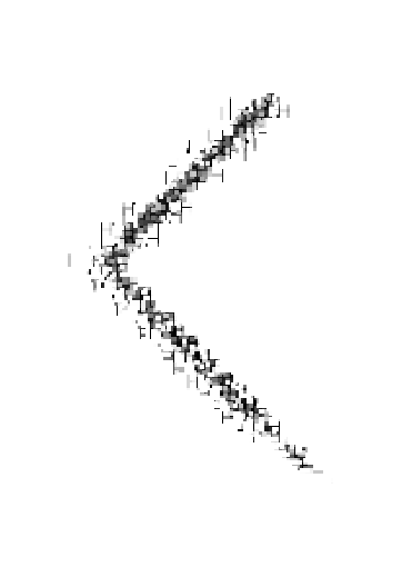 CC(=O)O.CC(=O)O.CC(=O)O.CC(=O)O.CC(=O)O.CC(=O)O.CC(=O)O.CC(=O)O.CC(=O)O.CC(=O)O.CC(=O)O.CC(=O)O.CC(=O)O.CC(=O)O.CC(=O)O.CC(=O)O.CC(=O)O.CC(=O)O.CC(=O)O.CC(=O)O.CC(=O)O.CC(=O)O.CC(=O)O.CC(=O)O.CC(=O)O.CC(=O)O.CC(=O)O.CC(=O)O.CC(=O)O.CCCCCCCC(=O)OCC